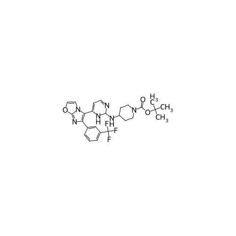 CC(C)(C)OC(=O)N1CCC(NC2N=CC=C(c3c(-c4cccc(C(F)(F)F)c4)nc4occn34)N2)CC1